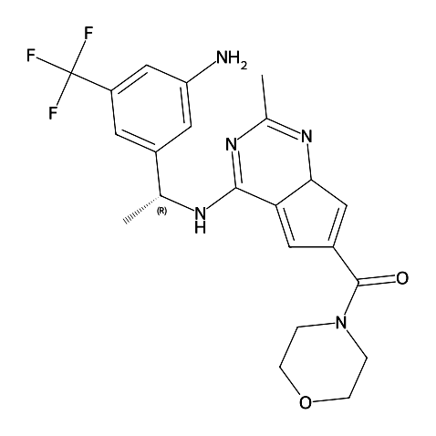 CC1=NC2C=C(C(=O)N3CCOCC3)C=C2C(N[C@H](C)c2cc(N)cc(C(F)(F)F)c2)=N1